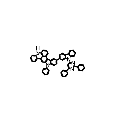 C[SH]1c2ccccc2-c2cc3c(c4cccc1c24)c1cc(-c2ccc4c5ccccc5n(-c5cc(-c6ccccc6)nc(-c6ccccc6)n5)c4c2)ccc1n3-c1ccccc1